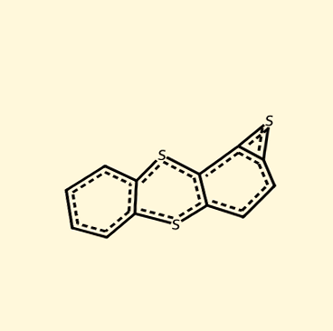 c1ccc2sc3c(ccc4sc43)sc2c1